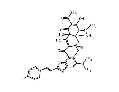 CN(C)c1cc2nc(C=Cc3ccc(F)cc3)oc2c2c1C[C@H]1C[C@H]3[C@H](N(C)C)C(O)=C(C(N)=O)C(=O)[C@@]3(O)C(O)=C1C2=O